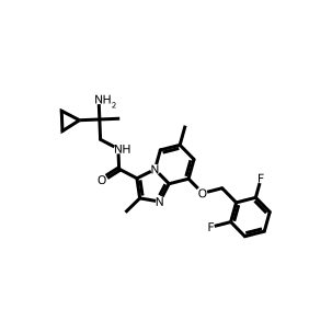 Cc1cc(OCc2c(F)cccc2F)c2nc(C)c(C(=O)NCC(C)(N)C3CC3)n2c1